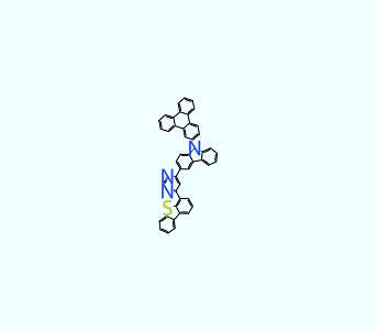 c1ccc2c(c1)sc1c(-c3cc(-c4ccc5c(c4)c4ccccc4n5-c4ccc5c6ccccc6c6ccccc6c5c4)ncn3)cccc12